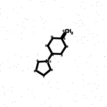 C=C1CCC(N2CCCC2)CC1